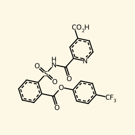 O=C(O)c1ccnc(C(=O)NS(=O)(=O)c2ccccc2C(=O)Oc2ccc(C(F)(F)F)cc2)c1